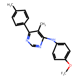 Cc1ccc(-c2ncnc(Nc3ccc(OC(F)(F)F)cc3)c2C)cc1